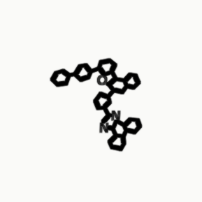 c1ccc(-c2ccc(-c3cccc4c3oc3c(-c5cccc(-c6cnc7c8ccccc8c8ccccc8c7n6)c5)cc5ccccc5c34)cc2)cc1